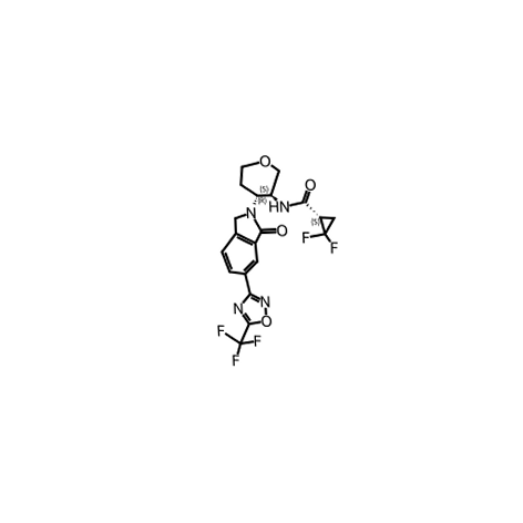 O=C(N[C@@H]1COCC[C@H]1N1Cc2ccc(-c3noc(C(F)(F)F)n3)cc2C1=O)[C@@H]1CC1(F)F